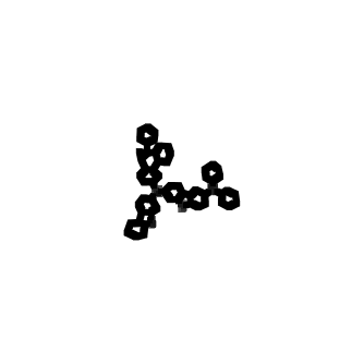 c1ccc(N(c2ccccc2)c2ccc3sc4cc(N(c5ccc6c(c5)-c5ccccc5C5(c7ccccc7)CC65)c5ccc6c(c5)sc5ccccc56)ccc4c3c2)cc1